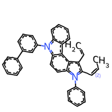 C=Cc1c(/C=C\C)n(-c2ccccc2)c2ccc3c(c4ccccc4n3-c3cccc(-c4ccccc4)c3)c12